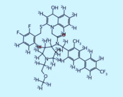 [2H]C1=C(SCc2c([2H])c([2H])c([2H])c(F)c2F)N(CC(=O)N(C([2H])([2H])c2c([2H])c([2H])c(-c3c([2H])c([2H])c(C(F)(F)F)c([2H])c3[2H])c([2H])c2C)C2([2H])C([2H])([2H])C([2H])([2H])N(C([2H])([2H])COC([2H])([2H])[2H])C([2H])([2H])C2([2H])[2H])c2c([2H])c([2H])c([2H])c([2H])c2C1O